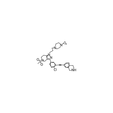 CS(=O)(=O)N1CCc2c(c(-c3ccc(Cl)c(C#Cc4ccc5c(c4)CNCC5)c3)nn2CCCN2CCN(C3CC3)CC2)C1